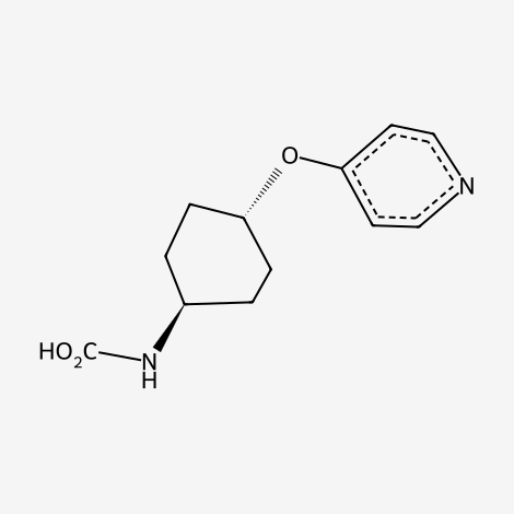 O=C(O)N[C@H]1CC[C@H](Oc2ccncc2)CC1